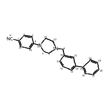 N#Cc1ccc(N2CCN(Cc3cccc(-c4ccccc4)c3)CC2)cc1